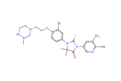 CCc1cc(N2C(=S)N(c3cnc(C#N)c(C(F)(F)F)c3)C(=O)C2(C)C)ccc1OCCN1CCNC(C)C1